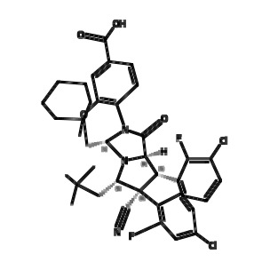 COc1cc(C(=O)O)ccc1N1C(=O)[C@H]2[C@H](c3cccc(Cl)c3F)[C@@](C#N)(c3ccc(Cl)cc3F)[C@H](CC(C)(C)C)N2[C@@H]1CC1CCCCC1